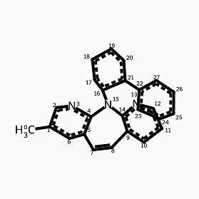 Cc1cnc2c(c1)C=Cc1cccnc1N2c1ccccc1-c1ccccc1